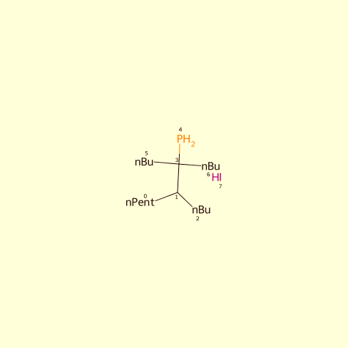 CCCCCC(CCCC)C(P)(CCCC)CCCC.I